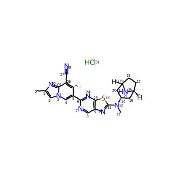 Cc1cn2cc(-c3ncc4nc(N(C)[C@@H]5C[C@H]6CC[C@@H](C5)N6)sc4n3)cc(C#N)c2n1.Cl